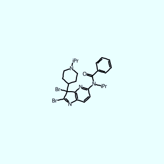 CC(C)N1CCC(C2(Br)C(Br)=Nc3ccc(N(C(=O)c4ccccc4)C(C)C)nc32)CC1